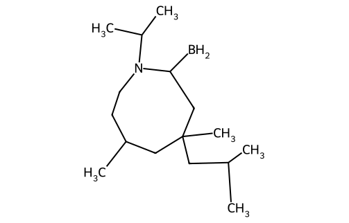 BC1CC(C)(CC(C)C)CC(C)CCN1C(C)C